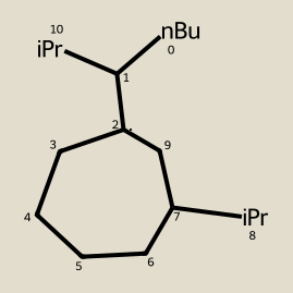 [CH2]CCCC([C]1CCCCC(C(C)C)C1)C(C)C